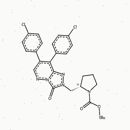 CC(C)(C)OC(=O)N1CCC[C@H]1Cn1nc2c(-c3ccc(Cl)cc3)c(-c3ccc(Cl)cc3)cnn2c1=O